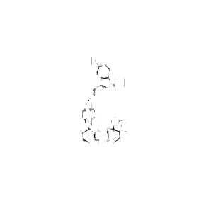 Cc1c(Oc2ccc3c(c2)OCO3)cccc1N1CCN(CCCc2c[nH]c3ccc(F)cc23)CC1